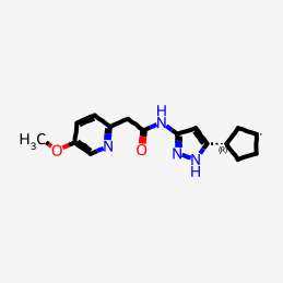 COc1ccc(CC(=O)Nc2cc([C@@H]3C[CH]CC3)[nH]n2)nc1